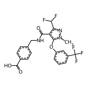 Cn1nc(C(F)F)c(C(=O)NCc2ccc(C(=O)O)cc2)c1Oc1cccc(C(F)(F)F)c1